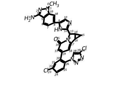 Cn1nc(N)c2ccc(-c3cnc(C4C5CC5c5cc(-c6cc(Cl)ccc6-n6cc(Cl)nn6)cc(=O)n54)[nH]3)cc21